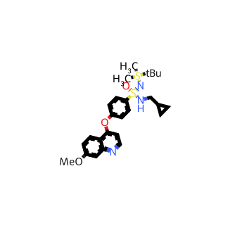 COc1ccc2c(Oc3ccc(S(=O)(=NS(C)(C)C(C)(C)C)NCC4CC4)cc3)ccnc2c1